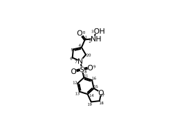 O=C(NO)C1=CCN(S(=O)(=O)c2ccc3c(c2)OCC3)C1